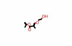 C=C(C)OC(=O)C(C)=COCCO